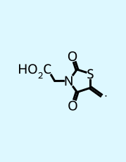 [CH]=C1SC(=O)N(CC(=O)O)C1=O